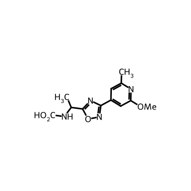 COc1cc(-c2noc(C(C)NC(=O)O)n2)cc(C)n1